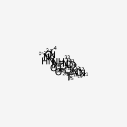 Cc1cc(C)nc(NNC(=O)c2cn3c4c(c(N5CCN(C)CC5)c(F)cc4c2=O)OC[C@@H]3C)n1